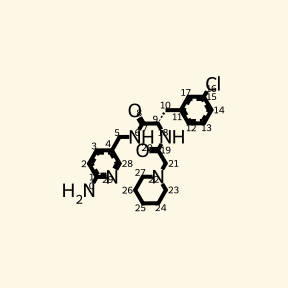 Nc1ccc(CNC(=O)[C@H](Cc2cccc(Cl)c2)NC(=O)CN2CCCCC2)cn1